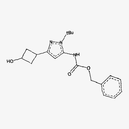 CC(C)(C)n1nc(C2CC(O)C2)cc1NC(=O)OCc1ccccc1